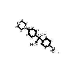 C#CC(O)(c1ccc(OC)cc1)c1ccc(N2CCOCC2)cc1